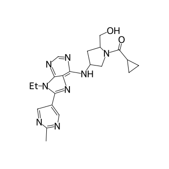 CCn1c(-c2cnc(C)nc2)nc2c(NC3CC(CO)N(C(=O)C4CC4)C3)ncnc21